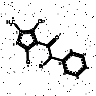 Cn1nc(Cl)c(C(=O)C(Br)c2ccccc2)c1Cl